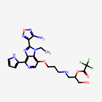 CCn1c(-c2nonc2N)nc2c(-c3ccc[nH]3)ncc(OCCCNCC(CO)OC(=O)C(F)(F)F)c21